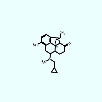 CCC[C@@]12c3c4ccc(O)c3CC(N(C)CC3CC3)C1CCC(=O)C2O4